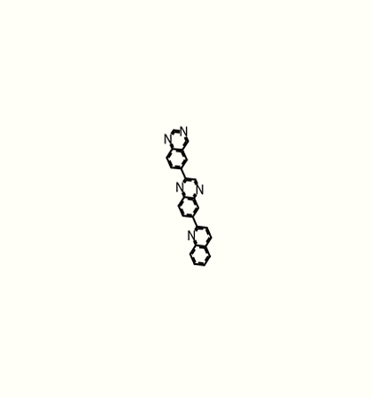 c1ccc2nc(-c3ccc4nc(-c5ccc6ncncc6c5)cnc4c3)ccc2c1